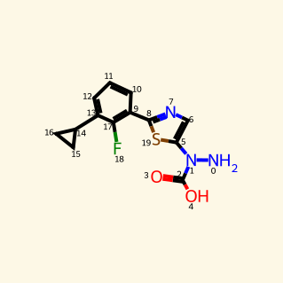 NN(C(=O)O)c1cnc(-c2cccc(C3CC3)c2F)s1